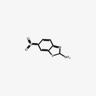 NC1N=C2C=CC(=S(=O)=O)C=C2S1